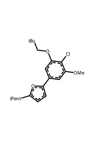 CCCC(C)c1ccc(-c2cc(OC)c(Cl)c(OCC(C)CC)c2)o1